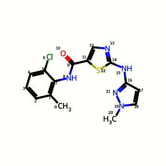 Cc1cccc(Cl)c1NC(=O)c1cnc(Nc2ccn(C)n2)s1